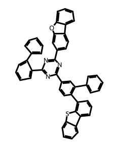 c1ccc(-c2ccccc2-c2nc(-c3ccc(-c4cccc5c4sc4ccccc45)c(-c4ccccc4)c3)nc(-c3ccc4c(c3)oc3ccccc34)n2)cc1